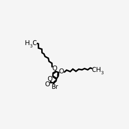 CCCCCCCCCCCOc1cc2cc(Br)c(=O)oc2cc1OCCCCCCCCCCC